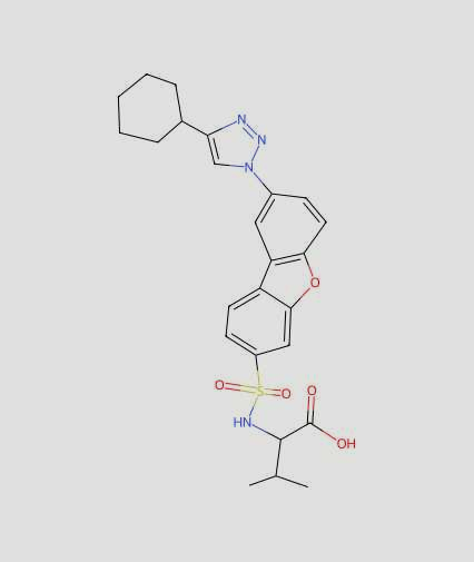 CC(C)C(NS(=O)(=O)c1ccc2c(c1)oc1ccc(-n3cc(C4CCCCC4)nn3)cc12)C(=O)O